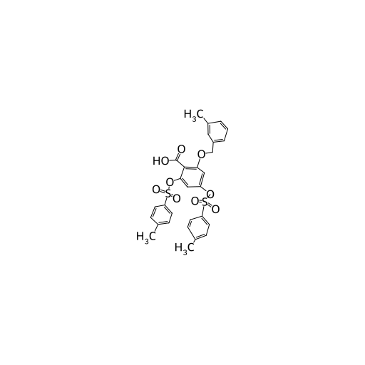 Cc1ccc(S(=O)(=O)Oc2cc(OCc3cccc(C)c3)c(C(=O)O)c(OS(=O)(=O)c3ccc(C)cc3)c2)cc1